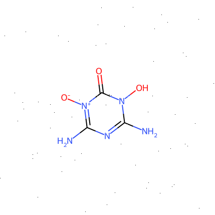 Nc1nc(N)[n+]([O-])c(=O)n1O